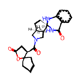 O=C1CC(C(=O)N2C[C@H]3CC[C@]4(NC(=O)c5ccccc5N4)[C@H]3C2)C2(CCCC2)O1